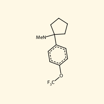 CNC1(c2ccc(OC(F)(F)F)cc2)CCCC1